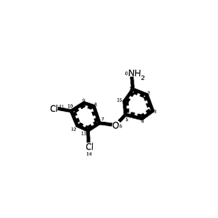 Nc1cccc(Oc2ccc(Cl)cc2Cl)c1